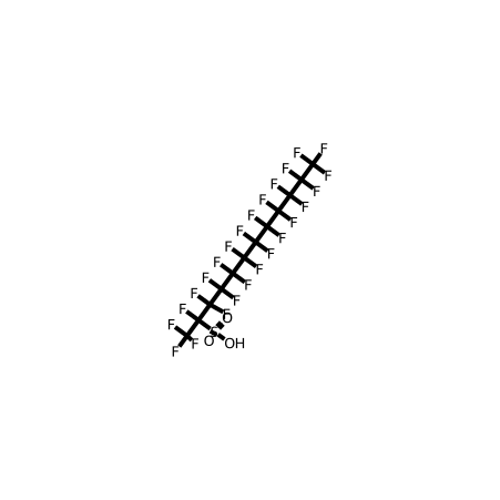 O=S(=O)(O)C(F)(C(F)(F)F)C(F)(F)C(F)(F)C(F)(F)C(F)(F)C(F)(F)C(F)(F)C(F)(F)C(F)(F)C(F)(F)C(F)(F)F